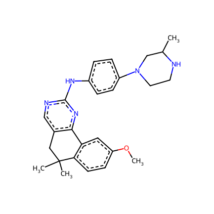 COc1ccc2c(c1)-c1nc(Nc3ccc(N4CCNC(C)C4)cc3)ncc1CC2(C)C